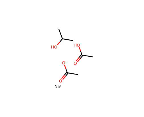 CC(=O)O.CC(=O)[O-].CC(C)O.[Na+]